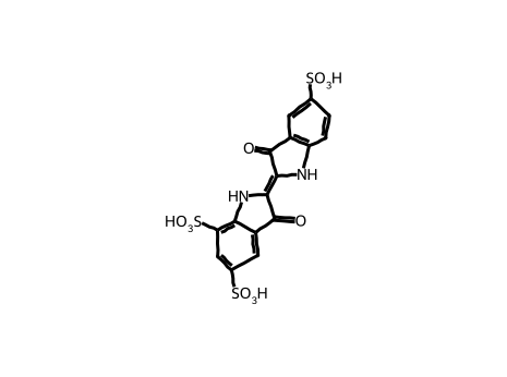 O=C1/C(=C2\Nc3c(cc(S(=O)(=O)O)cc3S(=O)(=O)O)C2=O)Nc2ccc(S(=O)(=O)O)cc21